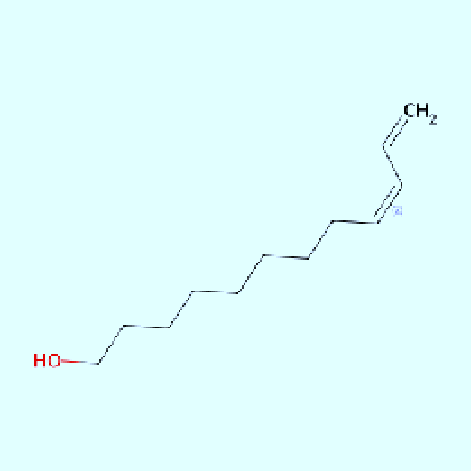 C=C/C=C\CCCCCCCCO